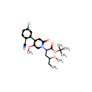 CCC(CC(C(=O)OC(C)(C)C)n1cc(OC)c(-c2cc(Cl)ccc2C#N)cc1=O)OC